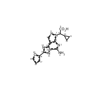 Nc1nc2c(cnn2C(C(=O)O)C2CC2)c2nc(-c3ccco3)nn12